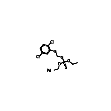 CCOP(=S)(OCC)SCSc1cc(Cl)ccc1Cl.[Pd]